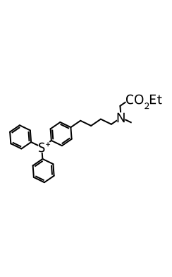 CCOC(=O)CN(C)CCCCc1ccc([S+](c2ccccc2)c2ccccc2)cc1